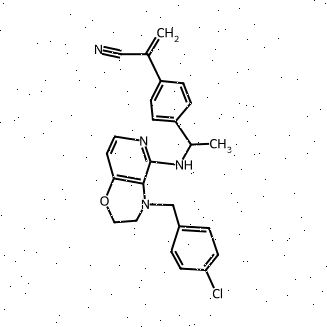 C=C(C#N)c1ccc(C(C)Nc2nccc3c2N(Cc2ccc(Cl)cc2)CCO3)cc1